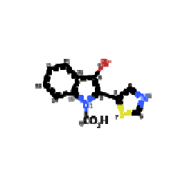 O=C(O)n1c(-c2cncs2)c(Br)c2ccccc21